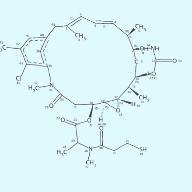 C/C1=C\C=C\[C@@H](C)[C@@]2(O)C[C@H](OC(=O)N2)[C@@H](C)[C@@H]2O[C@H]2[C@@H](OC(=O)C(C)N(C)C(=O)CCS)CC(=O)N(C)c2cc(cc(C)c2Cl)C1